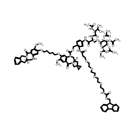 COC(=O)[C@H]1O[C@@H](OC[C@H](NC(=O)[C@@H](NC(C)=O)C(C)C)C(=O)Nc2ccc(COC(=O)N3C[C@@H]4CC5(CC5)CN4C(=O)c4cc(OC)c(OCCCCCOc5cc6c(cc5OC)C(=O)N5Cc7ccccc7C[C@H]5CN6)cc43)c(NC(=O)CCOCCOCCOCCOCCNC(=O)OCC3c4ccccc4-c4ccccc43)c2)[C@H](OC(C)=O)[C@@H](OC(C)=O)[C@@H]1OC(C)=O